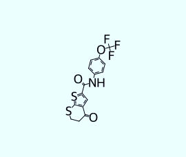 O=C(Nc1ccc(OC(F)(F)F)cc1)c1cc2c(s1)SCCC2=O